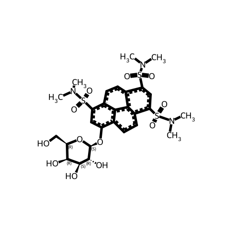 CN(C)S(=O)(=O)c1cc(O[C@@H]2O[C@H](CO)[C@H](O)[C@H](O)[C@H]2O)c2ccc3c(S(=O)(=O)N(C)C)cc(S(=O)(=O)N(C)C)c4ccc1c2c34